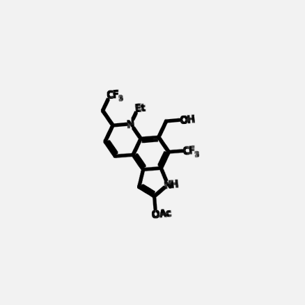 CCN1c2c(CO)c(C(F)(F)F)c3[nH]c(OC(C)=O)cc3c2C=CC1CC(F)(F)F